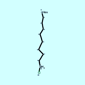 CCCCCCCCCCCCCC[SiH2]Cl